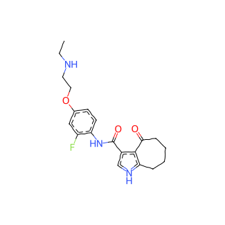 CCNCCOc1ccc(NC(=O)c2c[nH]c3c2C(=O)CCCC3)c(F)c1